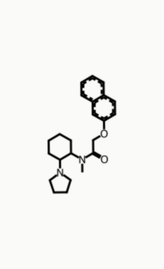 CN(C(=O)COc1ccc2ccccc2c1)C1CCCCC1N1CCCC1